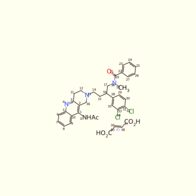 CC(=O)Nc1c2c(nc3ccccc13)CCN(CCC(CN(C)C(=O)c1ccccc1)c1ccc(Cl)c(Cl)c1)C2.O=C(O)/C=C/C(=O)O